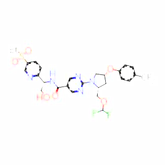 CCS(=O)(=O)c1ccc([C@H](CO)NC(=O)c2cnc(N3C[C@@H](Oc4ccc(C(F)(F)F)cc4)C[C@H]3COC(F)F)nc2)nc1